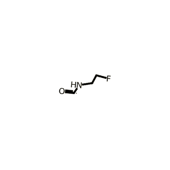 O=[C]NCCF